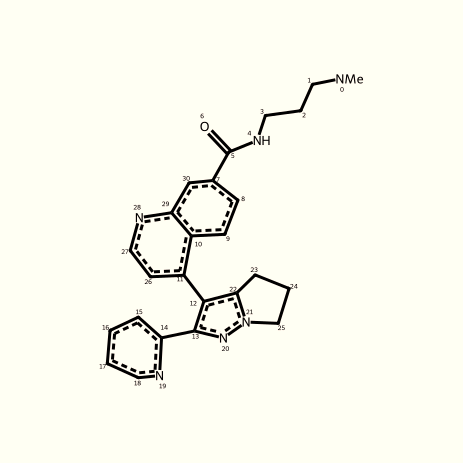 CNCCCNC(=O)c1ccc2c(-c3c(-c4ccccn4)nn4c3CCC4)ccnc2c1